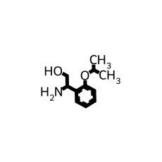 CC(C)Oc1ccccc1C(N)CO